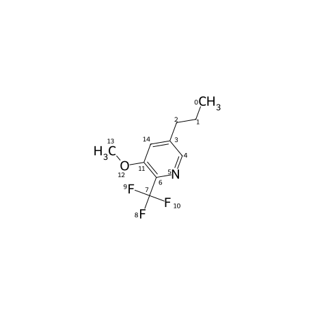 CCCc1cnc(C(F)(F)F)c(OC)c1